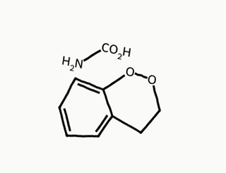 NC(=O)O.c1ccc2c(c1)CCOO2